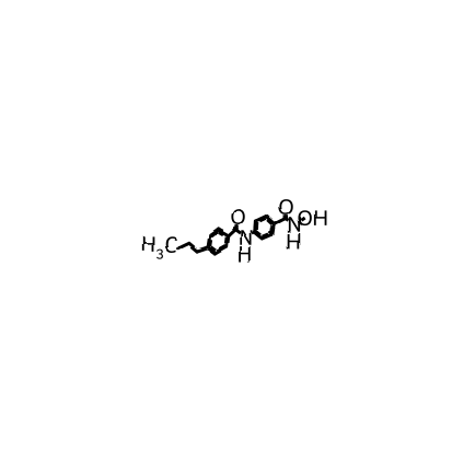 CCCCc1ccc(C(=O)Nc2ccc(C(=O)NO)cc2)cc1